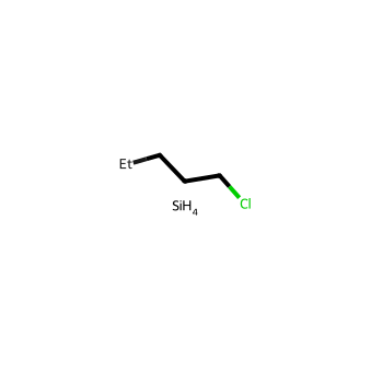 CCCCCCl.[SiH4]